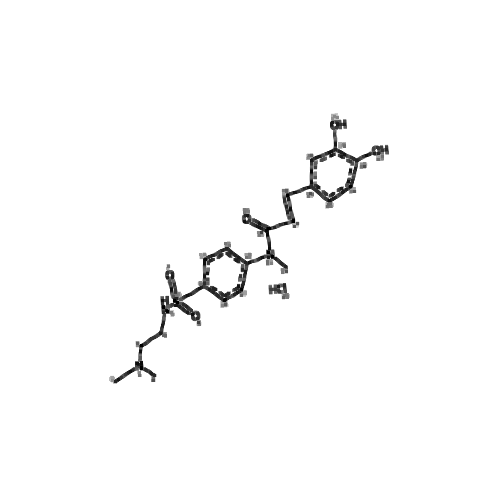 CN(C)CCNS(=O)(=O)c1ccc(N(C)C(=O)/C=C/c2ccc(O)c(O)c2)cc1.Cl